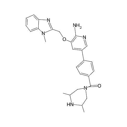 CC1CN(C(=O)c2ccc(-c3cnc(N)c(OCc4nc5ccccc5n4C)c3)cc2)CC(C)N1